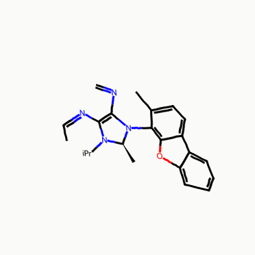 C=NC1=C(/N=C\C)N(C(C)C)[C@H](C)N1c1c(C)ccc2c1oc1ccccc12